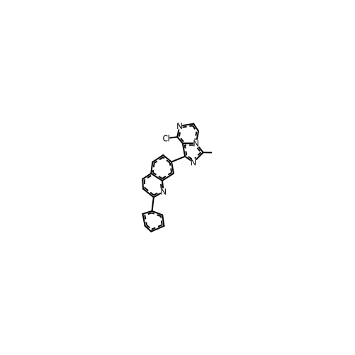 Cc1nc(-c2ccc3ccc(-c4ccccc4)nc3c2)c2c(Cl)nccn12